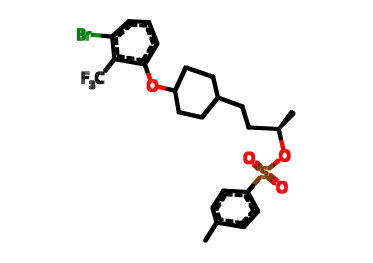 Cc1ccc(S(=O)(=O)O[C@H](C)CCC2CCC(Oc3cccc(Br)c3C(F)(F)F)CC2)cc1